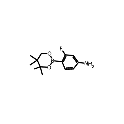 CC1(C)COB(c2ccc(N)cc2F)OC1(C)C